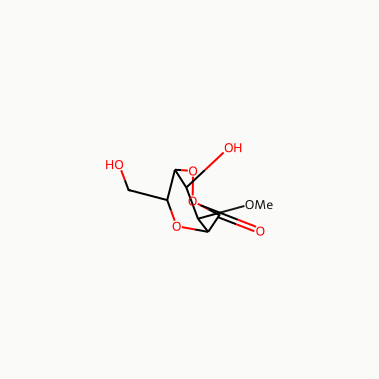 COC1C2OC(CO)C(OOC2=O)C1O